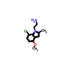 COc1ccc(Cl)c2c1cc(C)n2CCN